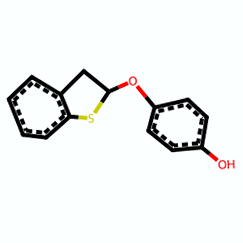 Oc1ccc(OC2Cc3ccccc3S2)cc1